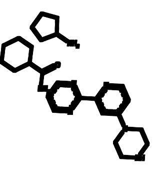 NC(=O)C1CCCCC1.NC1CCCC1.c1cnc(-c2cc(N3CCNCC3)ccn2)nc1